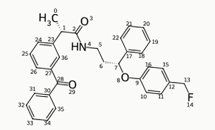 C[C@H](C(=O)NCC[C@@H](Oc1ccc(CF)cc1)c1ccccc1)c1cccc(C(=O)c2ccccc2)c1